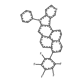 Fc1c(F)c(F)c(-c2ccc3ccc4c5c(ccc2c35)cc2c4c3cnccc3n2-c2ccccc2)c(F)c1F